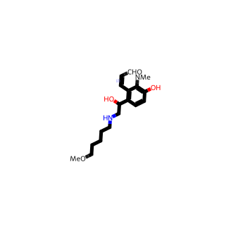 CNc1c(O)ccc(C(O)CNCCCCCOC)c1/C=C\C=O